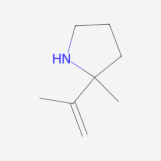 C=C(C)C1(C)CCCN1